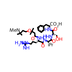 CNC(C)(C)CCOC(C)(C)CC(=O)N[C@@H](CCCNC(=N)N)C(=O)NC(C(=O)N[C@@H](CO)C(=O)N[C@@H](Cc1ccccc1)C(=O)O)C(C)C